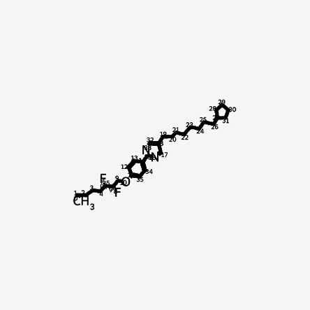 CCCCC[C@H](F)[C@@H](F)COc1ccc(-c2ncc(CCCCCCCCC3CCCC3)cn2)cc1